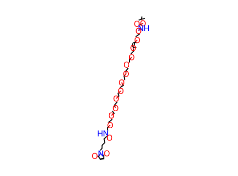 CC(C)(C)OC(=O)NOCCOCCOCCOCCOCCOCCOCCOCCOCCOCCOCCOCCNC(=O)CCCCCN1C(=O)C=CC1=O